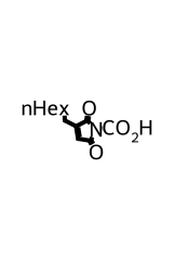 CCCCCCCC1=CC(=O)N(C(=O)O)C1=O